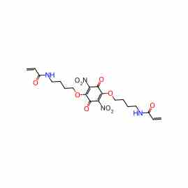 C=CC(=O)NCCCCOC1=C([N+](=O)[O-])C(=O)C(OCCCCNC(=O)C=C)=C([N+](=O)[O-])C1=O